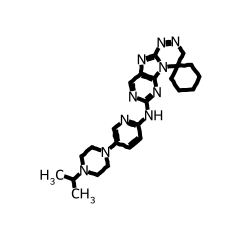 CC(C)N1CCN(c2ccc(Nc3ncc4nc5n(c4n3)C3(CCCCC3)CN=N5)nc2)CC1